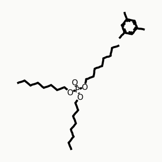 CCCCCCCCOP(=O)(OCCCCCCCC)OCCCCCCCC.Cc1cc(C)cc(C)c1